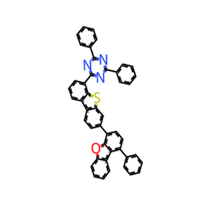 c1ccc(-c2nc(-c3ccccc3)nc(-c3cccc4c3sc3cc(-c5ccc(-c6ccccc6)c6c5oc5ccccc56)ccc34)n2)cc1